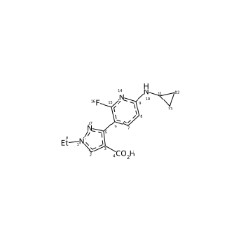 CCn1cc(C(=O)O)c(-c2ccc(NC3CC3)nc2F)n1